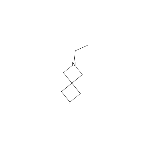 CCN1CC2(C[CH]C2)C1